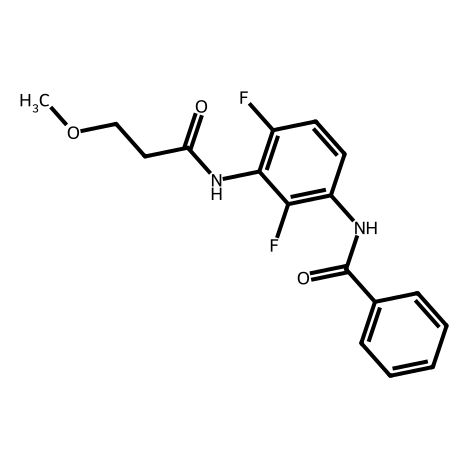 COCCC(=O)Nc1c(F)ccc(NC(=O)c2ccccc2)c1F